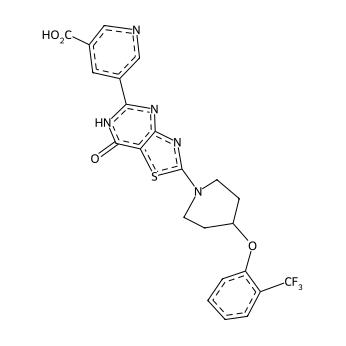 O=C(O)c1cncc(-c2nc3nc(N4CCC(Oc5ccccc5C(F)(F)F)CC4)sc3c(=O)[nH]2)c1